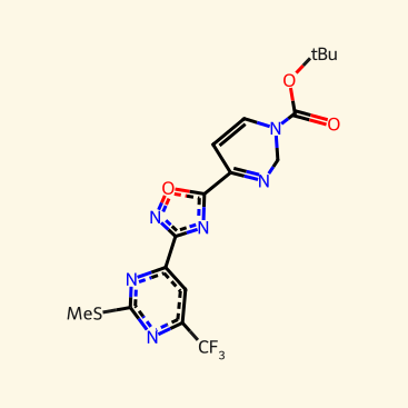 CSc1nc(-c2noc(C3=NCN(C(=O)OC(C)(C)C)C=C3)n2)cc(C(F)(F)F)n1